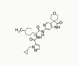 C[C@H]1CC[C@H]([C@H](NC(=O)c2ccnn2CC2CC2)C(=O)Nc2cc3c(cn2)C2(CCOCC2)C(=O)N3)CC1